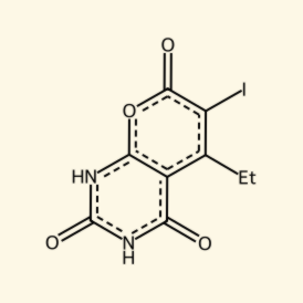 CCc1c(I)c(=O)oc2[nH]c(=O)[nH]c(=O)c12